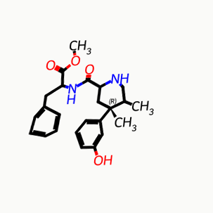 COC(=O)C(Cc1ccccc1)NC(=O)C1C[C@@](C)(c2cccc(O)c2)C(C)CN1